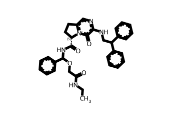 CCNC(=O)COC(NC(=O)[C@@H]1CCc2cnc(NCC(c3ccccc3)c3ccccc3)c(=O)n21)c1ccccc1